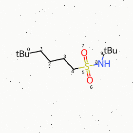 CC(C)(C)CCCCS(=O)(=O)NC(C)(C)C